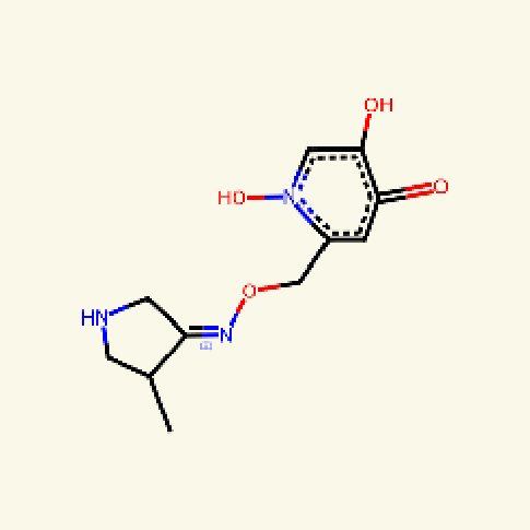 CC1CNC/C1=N\OCc1cc(=O)c(O)cn1O